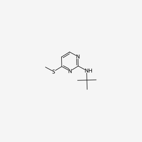 CSc1ccnc(NC(C)(C)C)n1